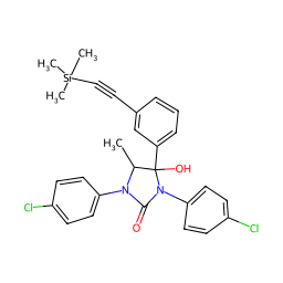 CC1N(c2ccc(Cl)cc2)C(=O)N(c2ccc(Cl)cc2)C1(O)c1cccc(C#C[Si](C)(C)C)c1